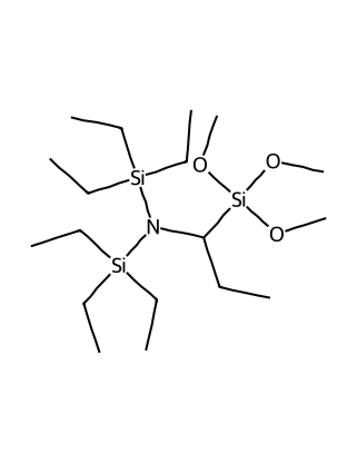 CCC(N([Si](CC)(CC)CC)[Si](CC)(CC)CC)[Si](OC)(OC)OC